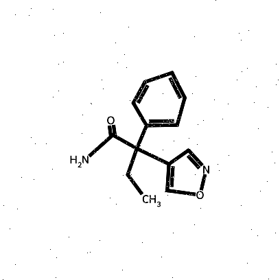 CCC(C(N)=O)(c1ccccc1)c1cnoc1